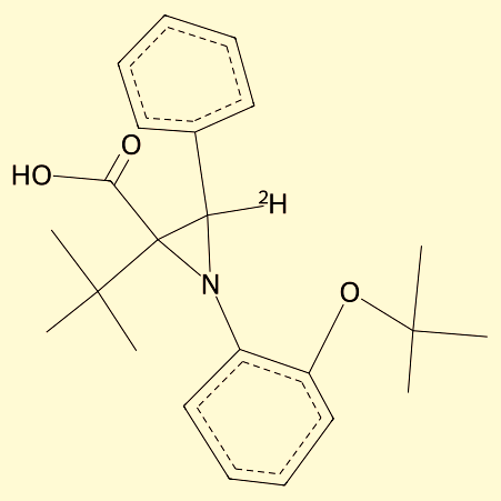 [2H]C1(c2ccccc2)N(c2ccccc2OC(C)(C)C)C1(C(=O)O)C(C)(C)C